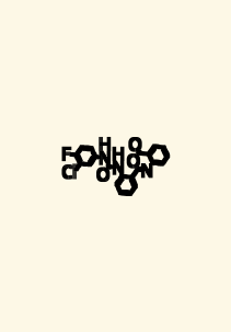 O=C(Nc1ccc(F)c(Cl)c1)Nc1ccccc1-c1nc2ccccc2c(=O)o1